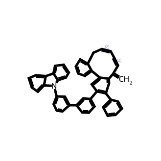 C=C1/C=C\C=C/Cc2ccccc2-c2cc(-c3cccc(-c4cccc(-n5c6ccccc6c6ccccc65)c4)c3)c(-c3ccccc3)cc21